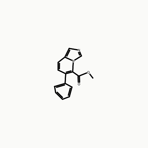 COC(=O)c1c(-c2ccccc2)ccc2cncn12